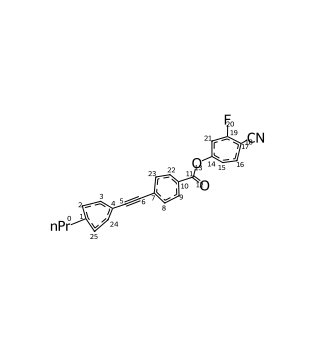 CCCc1ccc(C#Cc2ccc(C(=O)Oc3ccc(C#N)c(F)c3)cc2)cc1